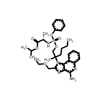 CCCCC(C)(CO[P@](=O)(N[C@@H](C)C(=O)OC(C)C)Oc1ccccc1)n1c(COCC)nc2c(N)nc3ccccc3c21